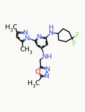 Cc1cc(C)n(-c2cc(NCc3nnc(C)o3)cc(NC3CCC(F)(F)CC3)n2)n1